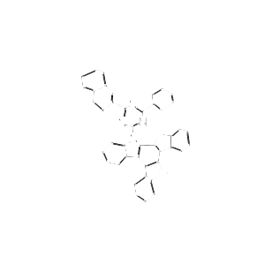 c1ccc(-c2nc(-c3ccc4ccccc4c3)nc(-n3c4ccccc4c4c5c6ccccc6oc5c5c6ccccc6sc5c43)n2)cc1